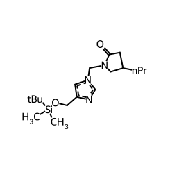 CCCC1CC(=O)N(Cn2cnc(CO[Si](C)(C)C(C)(C)C)c2)C1